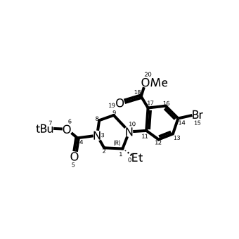 CC[C@@H]1CN(C(=O)OC(C)(C)C)CCN1c1ccc(Br)cc1C(=O)OC